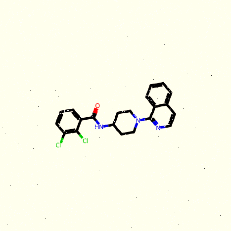 O=C(NC1CCN(c2nccc3ccccc23)CC1)c1cccc(Cl)c1Cl